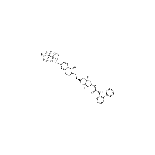 CC(C)(C)[Si](C)(C)OCc1ccc2c(c1)CCN(CCN1C[C@H]3C[C@H](OC(=O)Nc4ccccc4-c4ccccc4)C[C@H]3C1)C2=O